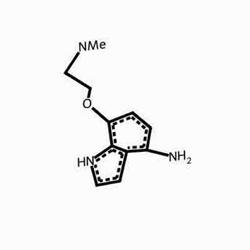 CNCCOc1ccc(N)c2cc[nH]c12